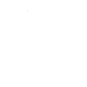 Cc1c(Cl)cccc1Cc1ccccc1